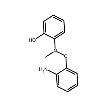 CN(Oc1ccccc1N)c1ccccc1O